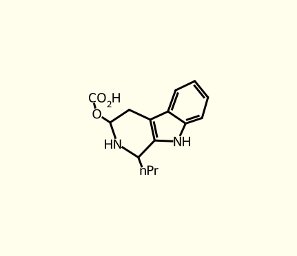 CCCC1NC(OC(=O)O)Cc2c1[nH]c1ccccc21